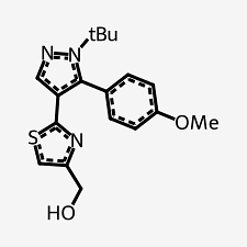 COc1ccc(-c2c(-c3nc(CO)cs3)cnn2C(C)(C)C)cc1